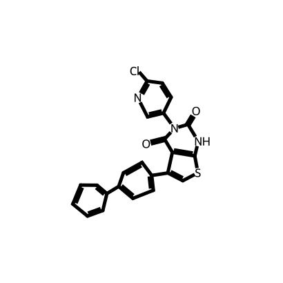 O=c1[nH]c2scc(-c3ccc(-c4ccccc4)cc3)c2c(=O)n1-c1ccc(Cl)nc1